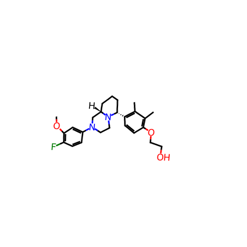 COc1cc(N2CCN3[C@@H](CCC[C@@H]3c3ccc(OCCO)c(C)c3C)C2)ccc1F